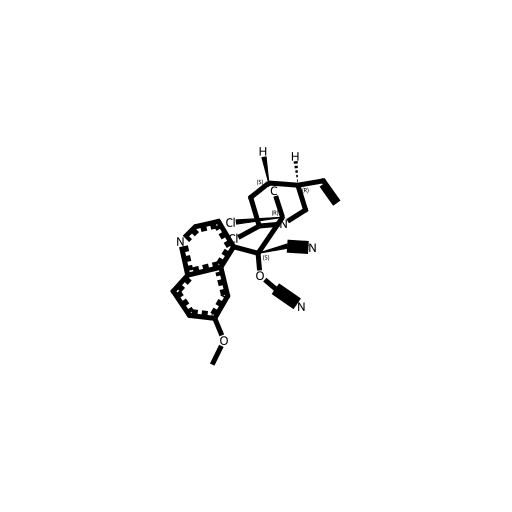 C=C[C@H]1CN2C(Cl)C[C@H]1C[C@@]2(Cl)[C@](C#N)(OC#N)c1ccnc2ccc(OC)cc12